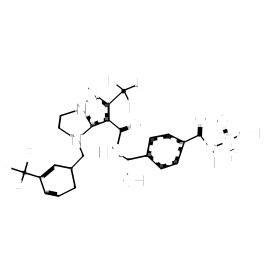 C[C@H](NC(=O)c1c(C(F)(F)F)nn2c1N(CC1C=C(C(F)(F)F)C=CC1)CC2)c1ccc(C(=O)NS(C)(=O)=O)cc1